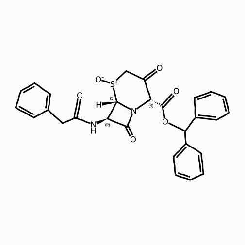 O=C(Cc1ccccc1)N[C@@H]1C(=O)N2[C@@H](C(=O)OC(c3ccccc3)c3ccccc3)C(=O)C[S+]([O-])[C@@H]12